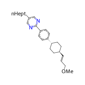 CCCCCCCc1cnc(-c2ccc([C@H]3CC[C@H](C=CCOC)CC3)cc2)nc1